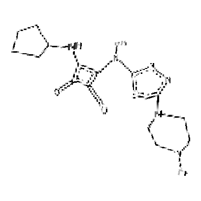 CCCN(c1nnc(N2CCN(CC)CC2)s1)c1c(NC2CCCC2)c(=O)c1=O